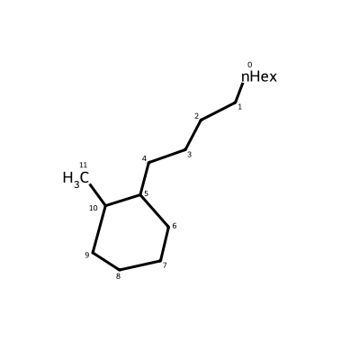 CCCCCCCCCCC1CCCCC1C